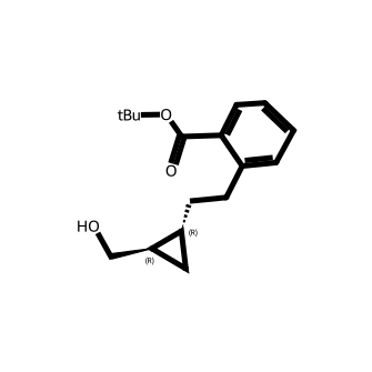 CC(C)(C)OC(=O)c1ccccc1CC[C@@H]1C[C@H]1CO